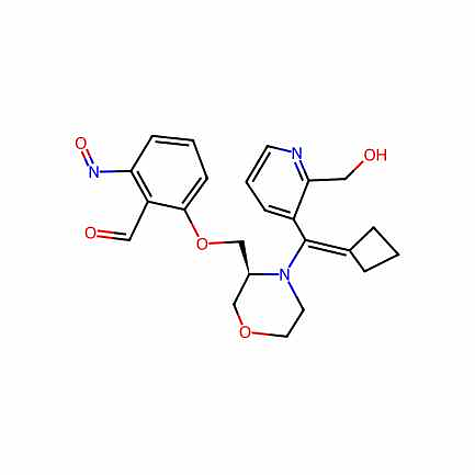 O=Cc1c(N=O)cccc1OC[C@@H]1COCCN1C(=C1CCC1)c1cccnc1CO